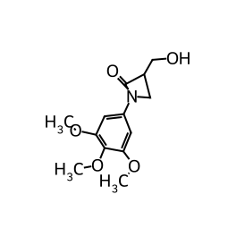 COc1cc(N2CC(CO)C2=O)cc(OC)c1OC